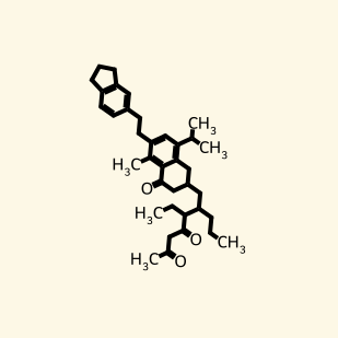 CCCC(CC1CC(=O)c2c(C)c(CCc3ccc4c(c3)CCC4)cc(C(C)C)c2C1)C(CC)C(=O)CC(C)=O